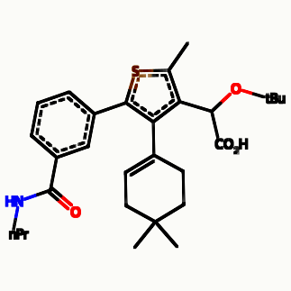 CCCNC(=O)c1cccc(-c2sc(C)c(C(OC(C)(C)C)C(=O)O)c2C2=CCC(C)(C)CC2)c1